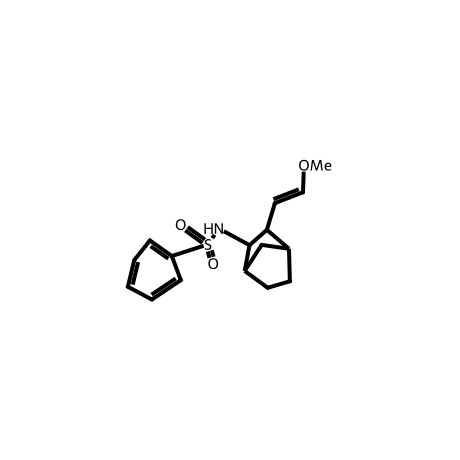 COC=CC1C2CCC(C2)C1NS(=O)(=O)c1ccccc1